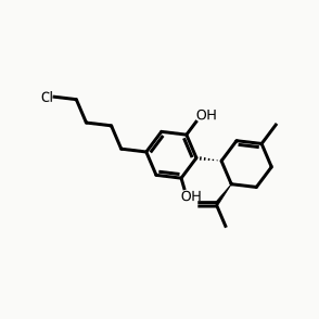 C=C(C)[C@@H]1CCC(C)=C[C@H]1c1c(O)cc(CCCCCl)cc1O